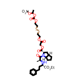 CCOC(=O)[C@H](CCc1ccccc1)N[C@@H](C)C(=O)N1[C@H](C(=O)OCC(=O)OCCSSCCOC(=O)OC(C)O[N+](=O)[O-])C[C@@H]2CCC[C@@H]21